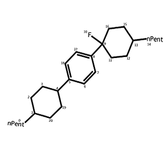 CCCCCC1CCC(c2ccc(C3(F)CCC(CCCCC)CC3)cc2)CC1